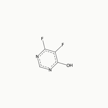 Oc1ncnc(F)c1F